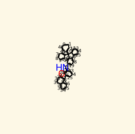 c1ccc(C2(c3ccccc3)c3ccccc3-c3ccc(Nc4cccc5c4oc4ccc6ccccc6c45)cc32)cc1